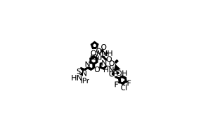 C=C[C@@H]1C[C@]1(NC(=O)[C@@H]1C[C@@H](Oc2cc(-c3csc(NC(C)C)n3)nc3cc(OC)ccc23)CN1C(=O)C(NC(=O)OC1CCCC1)C(C)(C)C)P(=O)(O)Cc1ccc(F)c(Cl)c1F